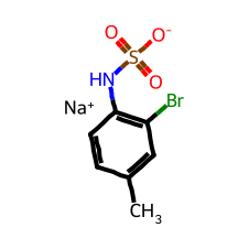 Cc1ccc(NS(=O)(=O)[O-])c(Br)c1.[Na+]